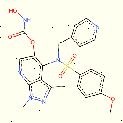 COc1ccc(S(=O)(=O)N(Cc2ccncc2)c2c(OC(=O)NO)cnc3c2c(C)nn3C)cc1